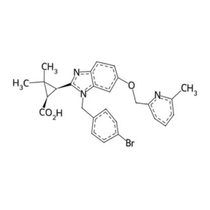 Cc1cccc(COc2ccc3nc([C@H]4[C@@H](C(=O)O)C4(C)C)n(Cc4ccc(Br)cc4)c3c2)n1